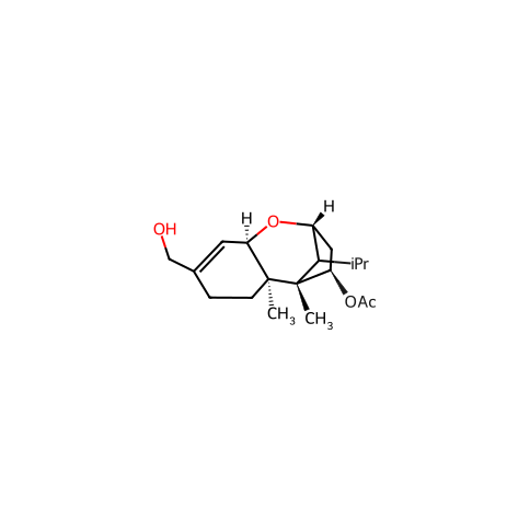 CC(=O)O[C@@H]1C[C@H]2O[C@@H]3C=C(CO)CC[C@]3(C)[C@]1(C)C2C(C)C